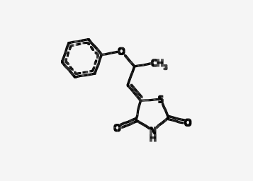 CC(C=C1SC(=O)NC1=O)Oc1ccccc1